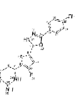 CC1(C)SCC(c2sc(C3NN=C(c4ccc(Cl)cc4)O3)cc2F)NC1=N